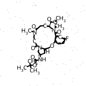 COC(=O)[C@@H]1CCC(=O)N(C)CCC(=O)N2C[C@H](NC(=O)OC(C)(C)C)C[C@H]2COc2ccc(F)cc2C(=O)N1C